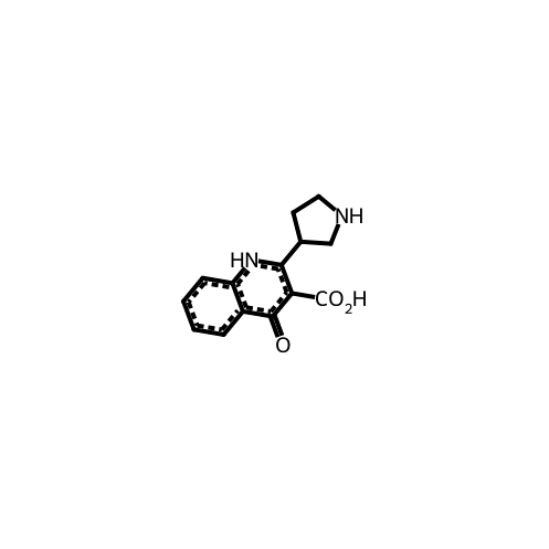 O=C(O)c1c(C2CCNC2)[nH]c2ccccc2c1=O